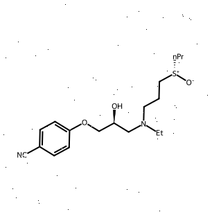 CCC[S@+]([O-])CCCN(CC)C[C@H](O)COc1ccc(C#N)cc1